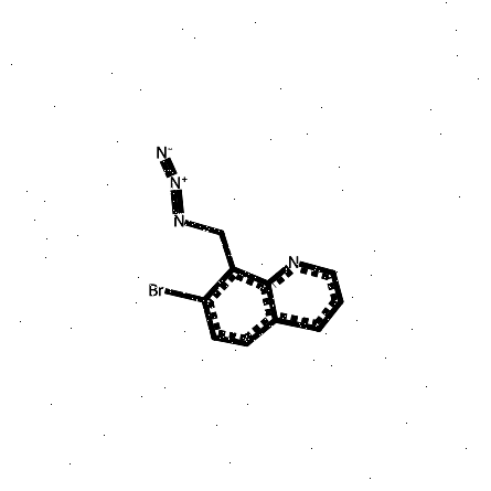 [N-]=[N+]=NCc1c(Br)ccc2cccnc12